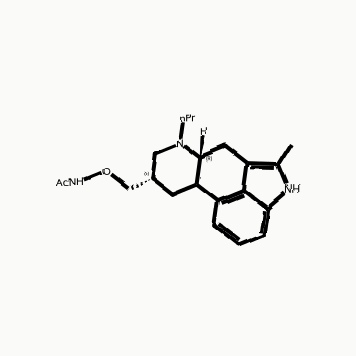 CCCN1C[C@@H](CONC(C)=O)CC2c3cccc4[nH]c(C)c(c34)C[C@H]21